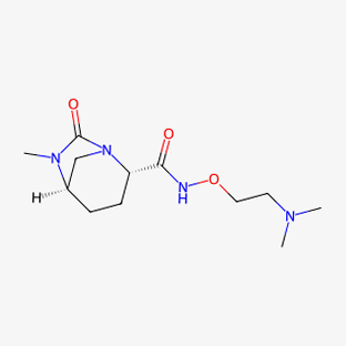 CN(C)CCONC(=O)[C@@H]1CC[C@@H]2CN1C(=O)N2C